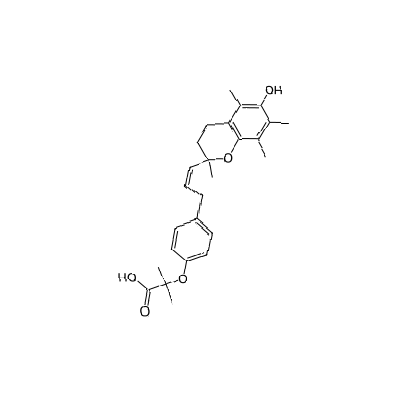 Cc1c(C)c2c(c(C)c1O)CCC(C)(/C=C\Cc1ccc(OC(C)(C)C(=O)O)cc1)O2